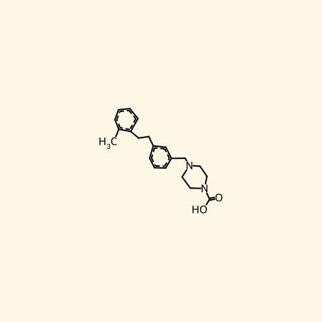 Cc1ccccc1CCc1cccc(CN2CCN(C(=O)O)CC2)c1